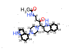 CC(=O)NCCC(=O)C(C1CCc2ccccc2N1)N1CCN(c2cccc3[nH]ccc23)CC1